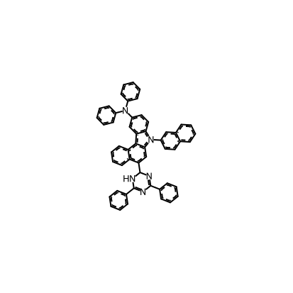 c1ccc(C2=NC(c3cc4c(c5ccccc35)c3cc(N(c5ccccc5)c5ccccc5)ccc3n4-c3ccc4ccccc4c3)NC(c3ccccc3)=N2)cc1